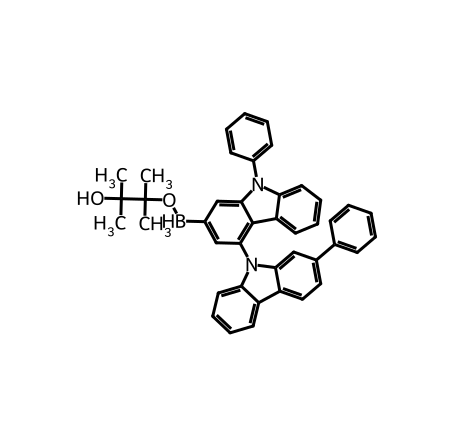 CC(C)(O)C(C)(C)OBc1cc(-n2c3ccccc3c3ccc(-c4ccccc4)cc32)c2c3ccccc3n(-c3ccccc3)c2c1